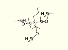 [CH2]CC[Si]([Si](C)(C)O[SiH2]C)([Si](C)(C)O[SiH2]C)[Si](C)(C)O[SiH2]C